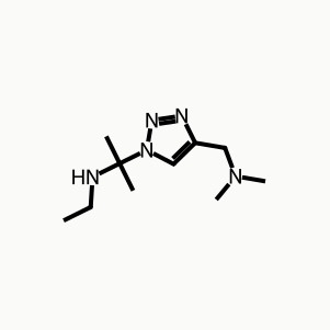 CCNC(C)(C)n1cc(CN(C)C)nn1